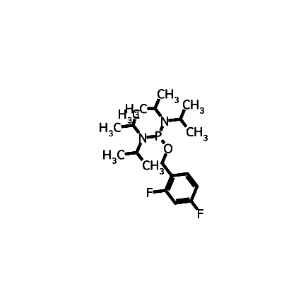 CC(C)N(C(C)C)P(OCc1ccc(F)cc1F)N(C(C)C)C(C)C